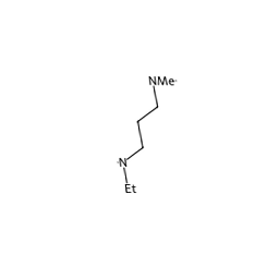 CC[N]CCC[N]C